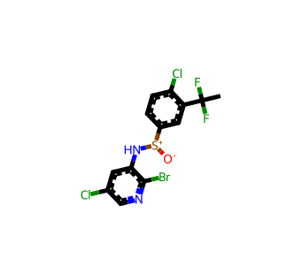 CC(F)(F)c1cc([S+]([O-])Nc2cc(Cl)cnc2Br)ccc1Cl